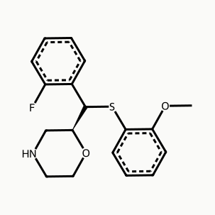 COc1ccccc1SC(c1ccccc1F)[C@@H]1CNCCO1